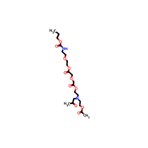 CCCOC(=O)NCCOCCOC(=O)COCC(=O)OCCN(CCOC(C)=O)CC(C)=O